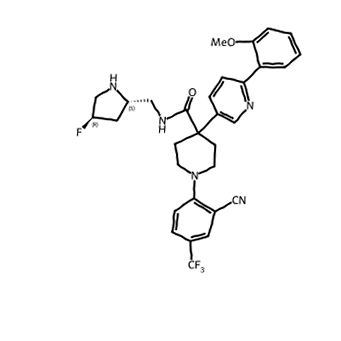 COc1ccccc1-c1ccc(C2(C(=O)NC[C@@H]3C[C@@H](F)CN3)CCN(c3ccc(C(F)(F)F)cc3C#N)CC2)cn1